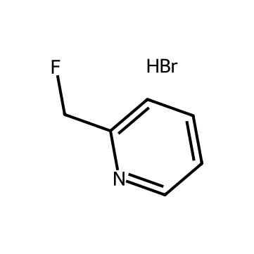 Br.FCc1ccccn1